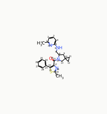 Cc1cccc(NCC2CC3(CC3)CN2C(=O)c2nc(C)sc2-c2ccccc2)n1